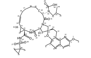 COc1ccc2nc(C)c3c(c2n1)CC[C@]1(C[C@H]2C(=O)N[C@]4(C(=O)NS(=O)(=O)C5(C)CC5)C[C@H]4/C=C\CCCCC[C@H](N(CC(C)C)C(=O)O)C(=O)N2C1)O3